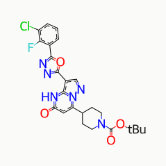 CC(C)(C)OC(=O)N1CCC(c2cc(=O)[nH]c3c(-c4nnc(-c5cccc(Cl)c5F)o4)cnn23)CC1